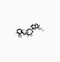 FC(F)(F)c1nnc2ccc(N3CCCN(Cc4ccccc4Cl)CC3)nn12